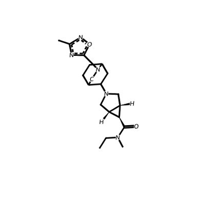 CCN(C)C(=O)[C@H]1[C@@H]2CN(C3CC4CCC3CN4c3nc(C)no3)C[C@@H]21